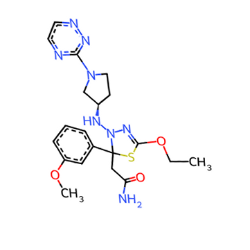 CCOC1=NN(N[C@@H]2CCN(c3nccnn3)C2)C(CC(N)=O)(c2cccc(OC)c2)S1